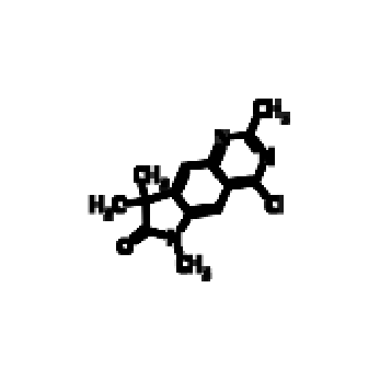 Cc1nc(Cl)c2cc3c(cc2n1)C(C)(C)C(=O)N3C